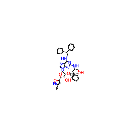 CCc1cc([C@H]2O[C@@H](n3cnc4c(NCC(c5ccccc5)c5ccccc5)nc(N[C@H](CO)Cc5ccccc5)nc43)[C@H](OC=O)[C@@H]2O)on1